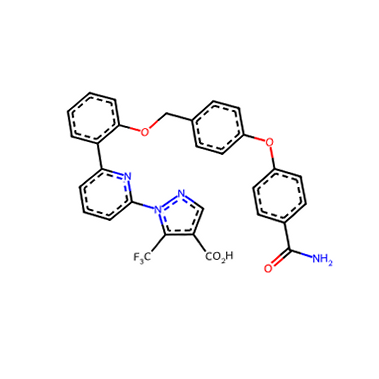 NC(=O)c1ccc(Oc2ccc(COc3ccccc3-c3cccc(-n4ncc(C(=O)O)c4C(F)(F)F)n3)cc2)cc1